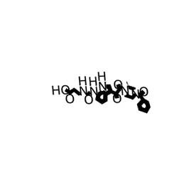 C[C@@H]1CN(C(=O)c2ccccc2)CCN1C(=O)C(=O)c1c[nH]c2c(NC(=O)NCCC(=O)O)cccc12